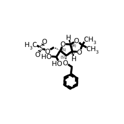 CC1(C)O[C@H]2O[C@](COS(C)(=O)=O)(C(O)O)[C@@H](OCc3ccccc3)[C@H]2O1